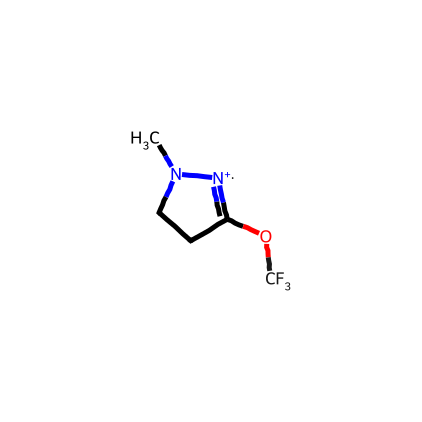 CN1CCC(OC(F)(F)F)=[N+]1